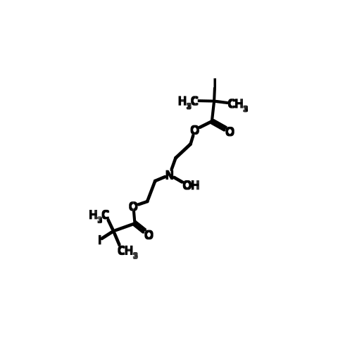 CC(C)(I)C(=O)OCCN(O)CCOC(=O)C(C)(C)I